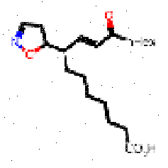 CCCCCCC(=O)C=C[C@@H](CCCCCCC(=O)O)C1CC=NO1